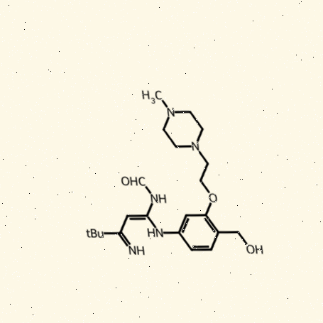 CN1CCN(CCOc2cc(N/C(=C\C(=N)C(C)(C)C)NC=O)ccc2CO)CC1